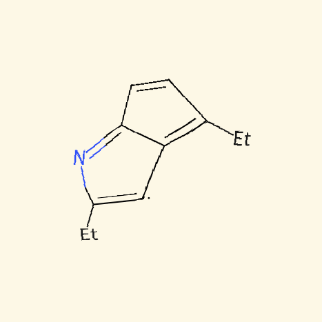 CCC1=[C]C2=C(CC)C=CC2=N1